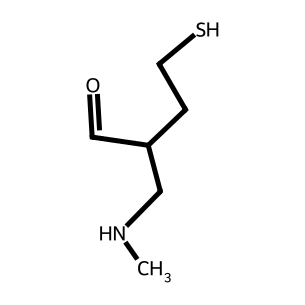 CNCC(C=O)CCS